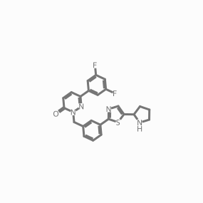 O=c1ccc(-c2cc(F)cc(F)c2)nn1Cc1cccc(-c2ncc(C3CCCN3)s2)c1